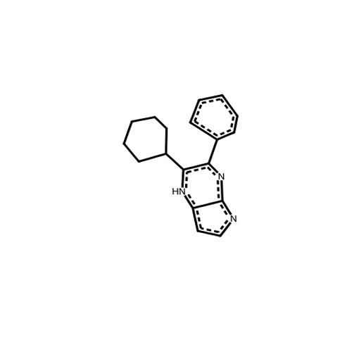 c1ccc(-c2nc3nccc-3[nH]c2C2CCCCC2)cc1